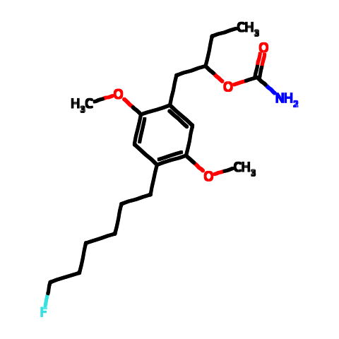 CCC(Cc1cc(OC)c(CCCCCCF)cc1OC)OC(N)=O